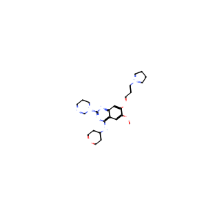 COc1cc2c(NC3CCOCC3)nc(N3CCCNC3)nc2cc1OCCCN1CCCC1